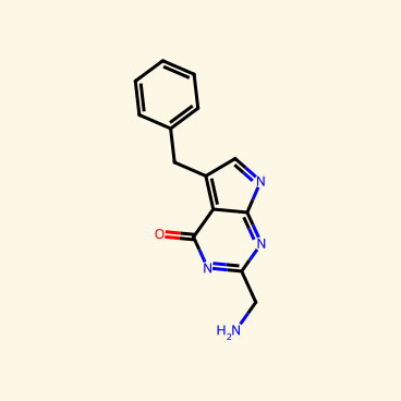 NCC1=NC(=O)C2=C(Cc3ccccc3)C=NC2=N1